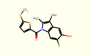 CC(=O)Oc1c(C)n(C(=O)c2ccc(SC(F)(F)F)s2)c2cc(F)c(O)cc12